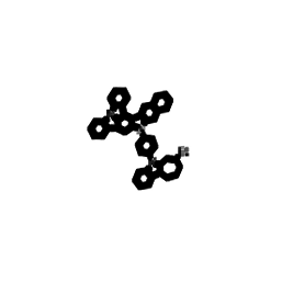 CCC1=Cc2c(c3ccccc3n2-c2ccc(-n3c4cc5ccccc5cc4c4c5c6ccccc6n6c7ccccc7c(cc43)c56)cc2)C=CC1